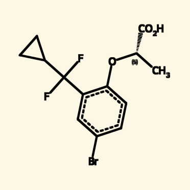 C[C@H](Oc1ccc(Br)cc1C(F)(F)C1CC1)C(=O)O